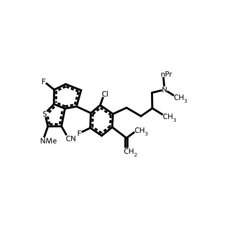 C=C(C)c1cc(F)c(-c2ccc(F)c3sc(NC)c(C#N)c23)c(Cl)c1CCC(C)CN(C)CCC